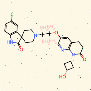 BC(B)(Oc1cnc2c(c1)CCC(=O)N2[C@H]1C[C@@H](O)C1)C(B)(B)N1CCC2(CC1)C(=O)Nc1ccc(Cl)cc12